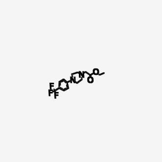 CCOC(=O)CN1CCN(c2ccc(C(F)(F)F)cc2)CC1